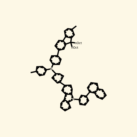 CCCCCCCCC1(CCCCCCCC)c2cc(C)ccc2-c2ccc(-c3ccc(N(c4ccc(C)cc4)c4ccc(-c5ccc6c(c5)c5ccccc5n6-c5cccc(-c6cccc7ccccc67)c5)cc4)cc3)cc21